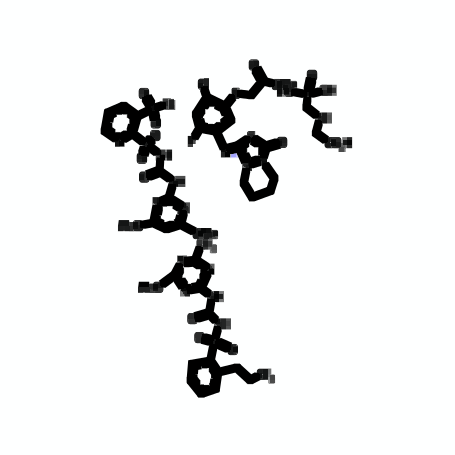 CCS(=O)(=O)c1cccnc1S(=O)(=O)NC(=O)Nc1nc(OC)cc(OC)n1.COC(=O)CSc1cc(/N=c2\sc(=O)n3n2CCCC3)c(F)cc1Cl.COc1nc(C)nc(NC(=O)NS(=O)(=O)c2ccccc2CCC(F)(F)F)n1.O=C(O)CNCP(=O)(O)O